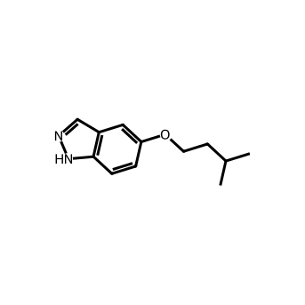 CC(C)CCOc1ccc2[nH]ncc2c1